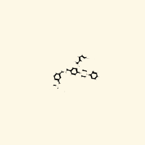 CCN(C)Cc1cccc(CNC(=O)c2ccc(N3CCN(c4ccccc4C)CC3)c(NC(=O)c3ccc(C)o3)c2)c1